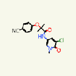 Cn1cc(NC(=O)C(C)(C)Oc2ccc(C#N)cc2)cc(Cl)c1=O